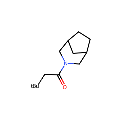 CC(C)(C)CC(=O)N1CC2CCC(C2)C1